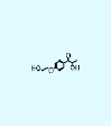 CC(O)C(=O)c1ccc(OCCO)cc1